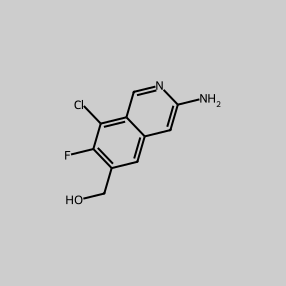 Nc1cc2cc(CO)c(F)c(Cl)c2cn1